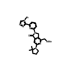 CNCc1nc(N2CCCC2(C)C)cc2c1CN(c1cccc(-c3nncn3C(C)C)n1)C2=O